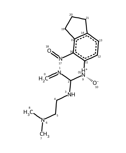 C=NC(NCCN(C)C)[N@@H+]([O-])c1ccc2c(c1N=O)CCC2